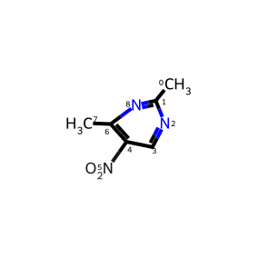 Cc1ncc([N+](=O)[O-])c(C)n1